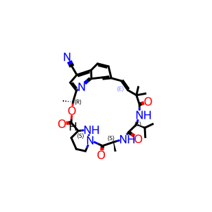 CC(C)[C@@H]1NC(=O)C(C)(C)/C=C/c2ccc3c(C#N)cc(nc3c2)[C@@H](C)OC(=O)[C@@H]2CCCN(N2)C(=O)[C@H](C)NC1=O